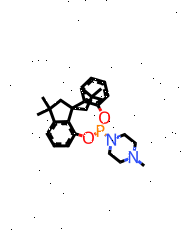 CN1CCN(P2Oc3cccc4c3C3(CC4(C)C)CC(C)(C)c4cccc(c43)O2)CC1